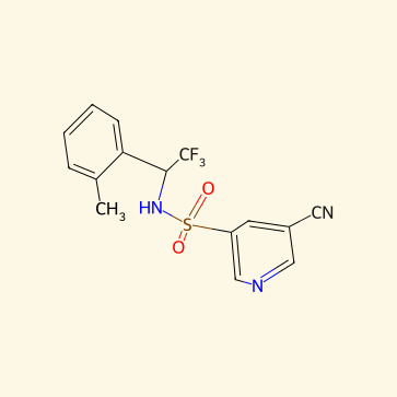 Cc1ccccc1C(NS(=O)(=O)c1cncc(C#N)c1)C(F)(F)F